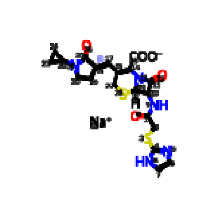 O=C(CSc1ncc[nH]1)N[C@@H]1C(=O)N2C(C(=O)[O-])=C(/C=C3\CCN(C4CC4)C3=O)CS[C@H]12.[Na+]